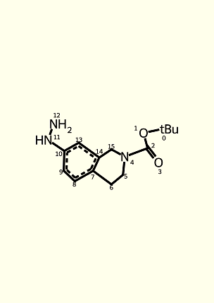 CC(C)(C)OC(=O)N1CCc2ccc(NN)cc2C1